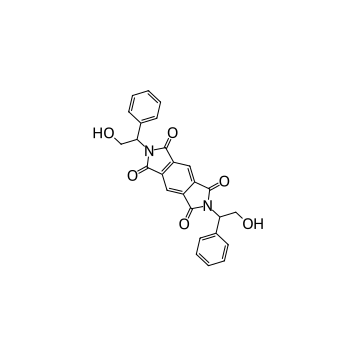 O=c1c2cc3c(=O)n(C(CO)c4ccccc4)c(=O)c3cc2c(=O)n1C(CO)c1ccccc1